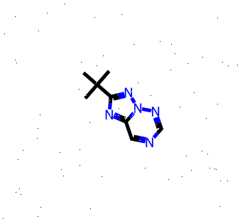 CC(C)(C)c1nc2cncnn2n1